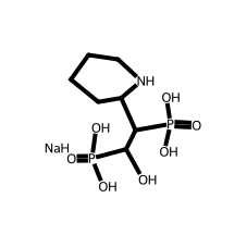 O=P(O)(O)C(O)C(C1CCCCN1)P(=O)(O)O.[NaH]